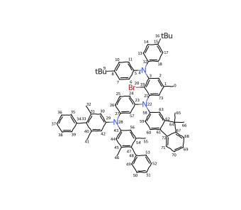 Cc1cc(N(c2ccc(C(C)(C)C)cc2)c2ccc(C(C)(C)C)cc2)c(Br)c(N(c2cccc(N(c3cc(C)c(-c4ccccc4)c(C)c3)c3cc(C)c(-c4ccccc4)c(C)c3)c2)c2ccc3c(c2)C(C)(C)c2ccccc2-3)c1